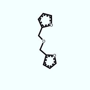 c1coc(COCc2ccco2)c1